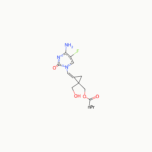 CCCC(=O)OCC1(CO)CC1=Cn1cc(F)c(N)nc1=O